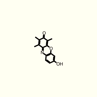 Cc1c2nc3ccc(O)cc3oc-2c(C)c(=O)c1C